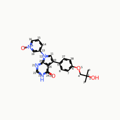 CC(C)(O)COc1ccc(-c2cn(-c3ccc[n+]([O-])c3)c3nc[nH]c(=O)c23)cc1